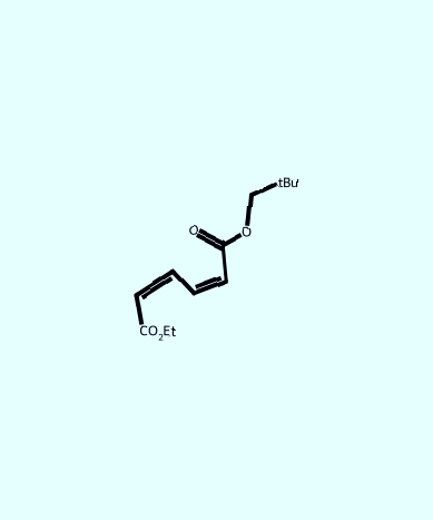 CCOC(=O)/C=C\C=C/C(=O)OCC(C)(C)C